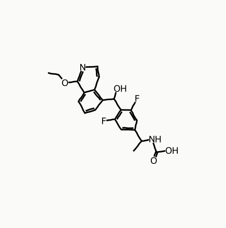 CCOc1nccc2c(C(O)c3c(F)cc(C(C)NC(=O)O)cc3F)cccc12